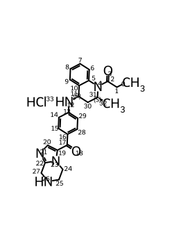 CCC(=O)N1c2ccccc2[C@H](Nc2ccc(C(=O)c3cnc4n3CCNC4)cc2)C[C@@H]1C.Cl